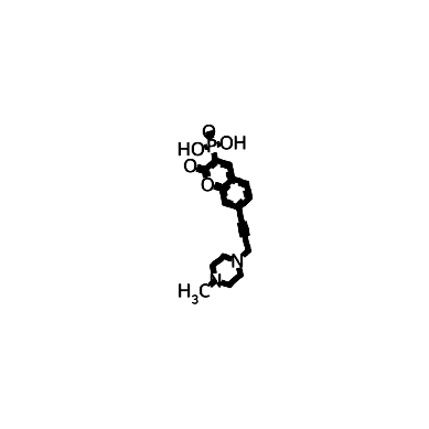 CN1CCN(CC#Cc2ccc3cc(P(=O)(O)O)c(=O)oc3c2)CC1